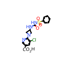 O=C(NC1CN(c2ncc(C(=O)O)cc2Cl)C1)NS(=O)(=O)c1ccccc1